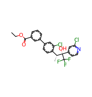 CCOC(=O)c1cccc(-c2ccc([C@@H](C)[C@@](O)(c3ccnc(Cl)c3)C(F)(F)F)c(Cl)c2)c1